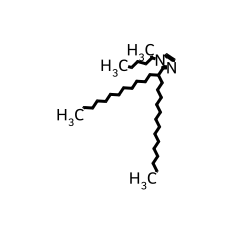 CCCCCCCCCCCCCCC(CCCCCCCCCCCC)c1nccn1C(C)CCCC